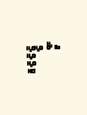 Cl.O.O.O.O.O.[Ru]